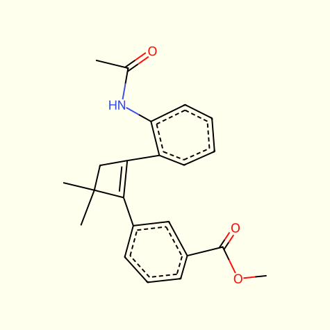 COC(=O)c1cccc(C2=C(c3ccccc3NC(C)=O)CC2(C)C)c1